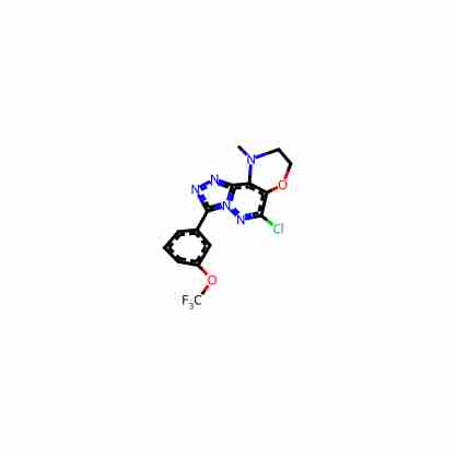 CN1CCOc2c(Cl)nn3c(-c4cccc(OC(F)(F)F)c4)nnc3c21